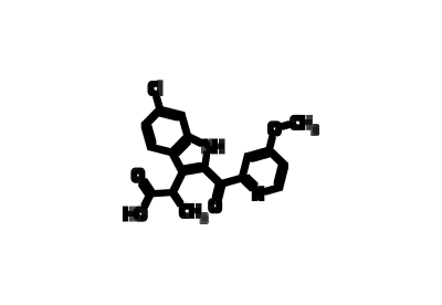 COc1ccnc(C(=O)c2[nH]c3cc(Cl)ccc3c2C(C)C(=O)O)c1